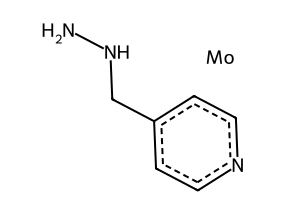 NNCc1ccncc1.[Mo]